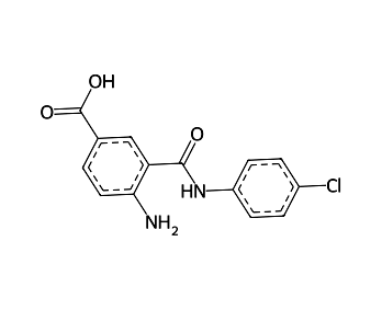 Nc1ccc(C(=O)O)cc1C(=O)Nc1ccc(Cl)cc1